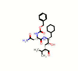 CC(C)[C@@H]([C]=O)C[C@H](O)[C@H](CC1CCCCC1)NC(=O)[C@H](CC(N)=O)NC(=O)OCc1ccccc1